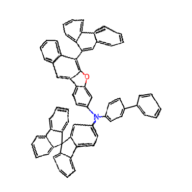 c1ccc(-c2ccc(N(c3ccc4c(c3)C3(c5ccccc5-c5ccccc53)c3ccccc3-4)c3ccc4c(c3)oc3c(-c5cc6ccccc6c6ccccc56)c5ccccc5cc34)cc2)cc1